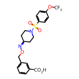 O=C(O)c1cccc(CON=C2CCN(S(=O)(=O)c3ccc(OC(F)(F)F)cc3)CC2)c1